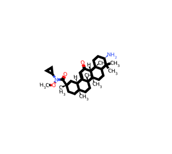 CON(C(=O)[C@@]1(C)CC[C@]2(C)CC[C@]3(C)C(=CC(=O)[C@@H]4[C@@]5(C)CC[C@H](N)C(C)(C)C5CC[C@]43C)[C@@H]2C1)C1CC1